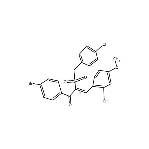 COc1ccc(/C=C(/C(=O)c2ccc(Br)cc2)S(=O)(=O)Cc2ccc(Cl)cc2)c(O)c1